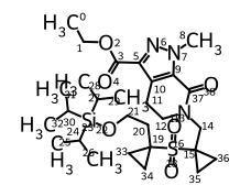 CCOC(=O)c1nn(C)c2c1CCN(CC1(S(=O)(=O)C3(CCO[Si](C(C)C)(C(C)C)C(C)C)CC3)CC1)C2=O